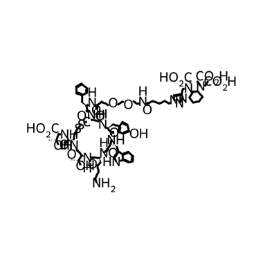 C[C@@H](O)[C@H](NC(=O)[C@@H]1CSSC[C@H](NC(=O)[C@@H](Cc2ccccc2)NC(=O)CCOCCOCCNC(=O)CCCCn2cc(CN(CC(=O)O)C3CCCCC3N(CC(=O)O)CC(=O)O)nn2)C(=O)N[C@@H](Cc2ccc(O)cc2)C(=O)N[C@H](Cc2c[nH]c3ccccc23)C(=O)N[C@@H](CCCCN)C(=O)N[C@@H]([C@@H](C)O)C(=O)N1)C(=O)O